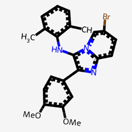 COc1ccc(-c2nc3ccc(Br)cn3c2Nc2c(C)cccc2C)cc1OC